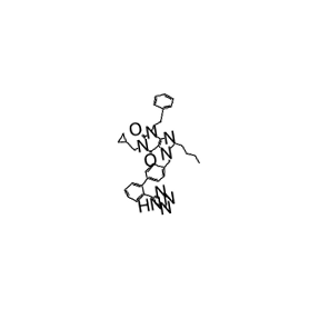 CCCCc1nc2c(c(=O)n(CC3CC3)c(=O)n2CCc2ccccc2)n1Cc1ccc(-c2ccccc2-c2nnn[nH]2)cc1